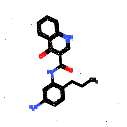 CCCc1ccc(N)cc1NC(=O)c1c[nH]c2ccccc2c1=O